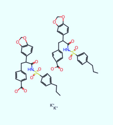 CCCc1ccc(S(=O)(=O)NC(=O)C(Cc2ccc(C(=O)[O-])cc2)c2ccc3c(c2)OCO3)cc1.CCCc1ccc(S(=O)(=O)NC(=O)C(Cc2ccc(C(=O)[O-])cc2)c2ccc3c(c2)OCO3)cc1.[K+].[K+]